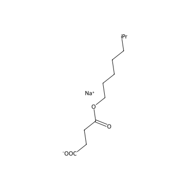 CC(C)CCCCCOC(=O)CCC(=O)[O-].[Na+]